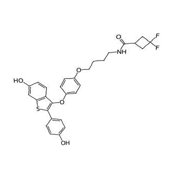 O=C(NCCCCOc1ccc(Oc2c(-c3ccc(O)cc3)sc3cc(O)ccc23)cc1)C1CC(F)(F)C1